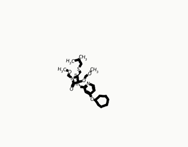 COCO[C@@]1(Cc2cc(OC3CCCCCC3)ccn2)C(=O)N(COC)[C@H]1CSCC(C)C